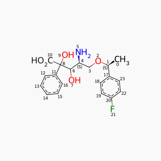 C[C@H](OC[C@H](N)C(O)C(O)(C(=O)O)c1ccccc1)c1ccc(F)cc1